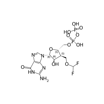 Nc1nc2c(ncn2[C@@H]2O[C@H](COP(=O)(O)OP(=O)(O)O)[C@@H](COC(F)F)[C@H]2O)c(=O)[nH]1